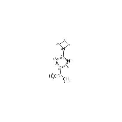 CC(C)c1cnc(N2CCC2)nc1